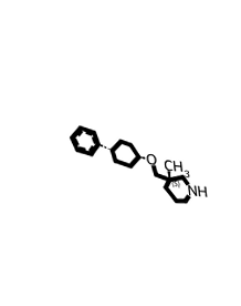 C[C@]1(CO[C@H]2CC[C@@H](c3ccccc3)CC2)CCCNC1